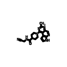 Cc1nc(N2CCC(C(=O)NCC#N)CC2)c2c(cnc3[nH]ccc32)n1